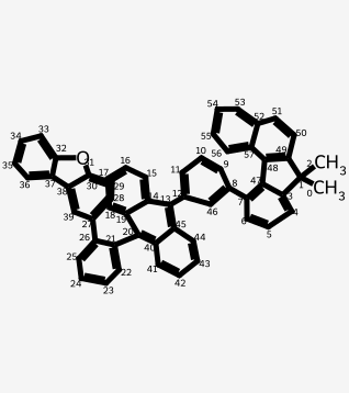 CC1(C)c2cccc(-c3cccc(-c4c5ccccc5c(-c5ccccc5-c5ccc6oc7ccccc7c6c5)c5ccccc45)c3)c2-c2c1ccc1ccccc21